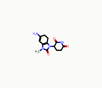 Cn1c2c(n(C3CCC(=O)NC3=O)c1=O)CCC(N)=C2